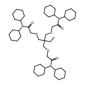 CCC(COCC(=O)N(C1CCCCC1)C1CCCCC1)(COCC(=O)N(C1CCCCC1)C1CCCCC1)COCC(=O)N(C1CCCCC1)C1CCCCC1